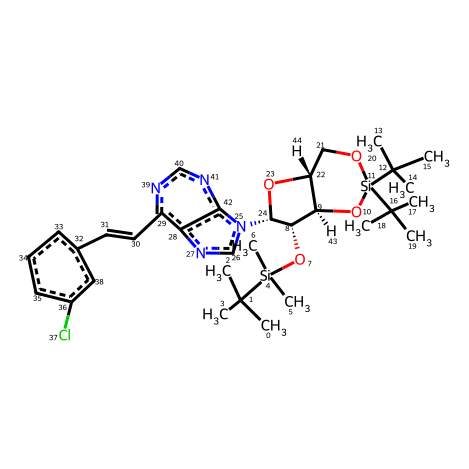 CC(C)(C)[Si](C)(C)O[C@H]1[C@@H]2O[Si](C(C)(C)C)(C(C)(C)C)OC[C@H]2O[C@H]1n1cnc2c(C=Cc3cccc(Cl)c3)ncnc21